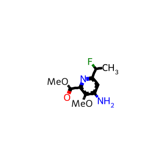 COC(=O)c1nc(C(C)F)cc(N)c1OC